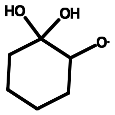 [O]C1CCCCC1(O)O